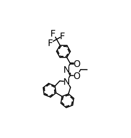 CCO/C(=N\C(=O)c1ccc(C(F)(F)F)cc1)N1Cc2ccccc2-c2ccccc2C1